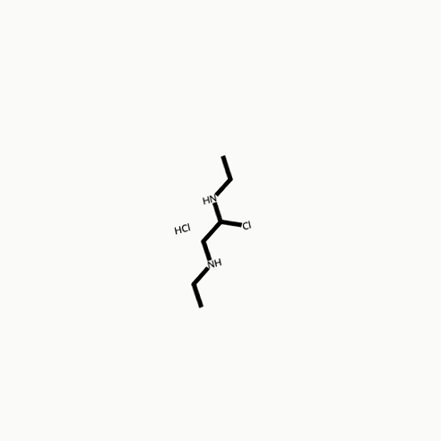 CCNCC(Cl)NCC.Cl